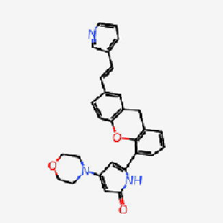 O=c1cc(N2CCOCC2)cc(-c2cccc3c2Oc2ccc(C=Cc4cccnc4)cc2C3)[nH]1